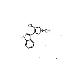 CN1CC(Cl)=C(c2c[nH]c3ccccc23)C1